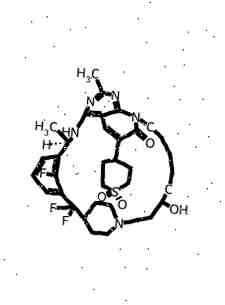 Cc1nc2c3cc(C4CCS(=O)(=O)CC4)c(=O)n(c3n1)CCCCCC(O)CN1CCC(CC1)C(F)(F)c1cccc(c1F)[C@@H](C)N2